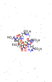 CCOC(=O)C1(CS(=O)(=O)CC(NC(=O)CCC(N)C(=O)O)C(=O)N(C)C(=O)O)OC(=O)C(O)=C1S(=O)(=O)CC(NC(=O)CCC(N)C(=O)O)C(=O)NCC(=O)O